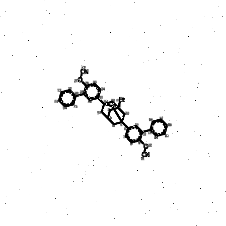 CCC12CC3CC(c4ccc(OC#N)c(-c5ccccc5)c4)(C1)CC(c1ccc(OC#N)c(-c4ccccc4)c1)(C3)C2